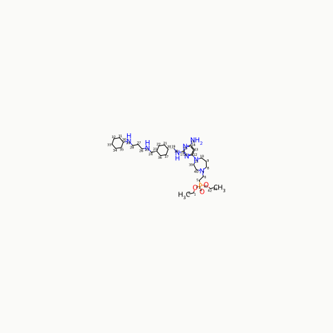 CCOP(=O)(CCN1CCCN(c2cc(N)nc(NC[C@H]3CC[C@H](CNCCCNC4CCCCC4)CC3)n2)CC1)OCC